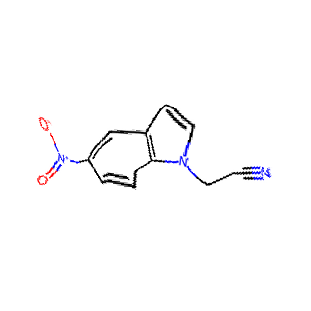 N#CCn1ccc2cc([N+](=O)[O-])ccc21